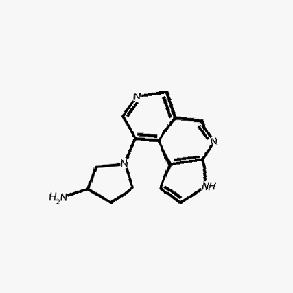 NC1CCN(c2cncc3cnc4[nH]ccc4c23)C1